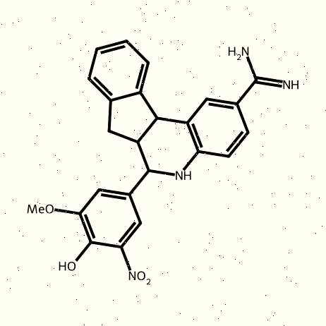 COc1cc(C2Nc3ccc(C(=N)N)cc3C3c4ccccc4CC23)cc([N+](=O)[O-])c1O